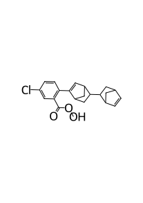 O=C(OO)c1cc(Cl)ccc1C1=CC2CC1CC2C1CC2C=CC1C2